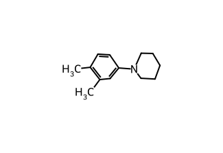 Cc1ccc(N2CCCCC2)cc1C